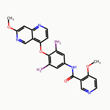 COc1cc2nccc(Oc3c(P)cc(NC(=O)c4cnccc4OC)cc3P)c2cn1